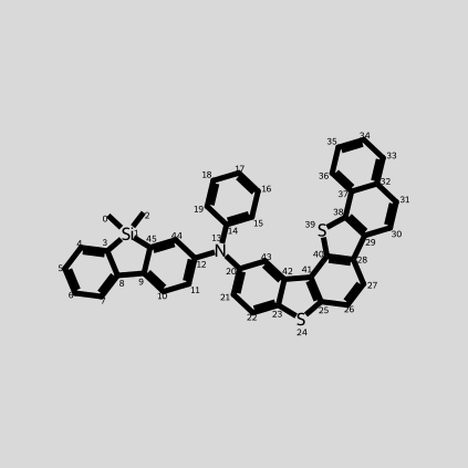 C[Si]1(C)c2ccccc2-c2ccc(N(c3ccccc3)c3ccc4sc5ccc6c7ccc8ccccc8c7sc6c5c4c3)cc21